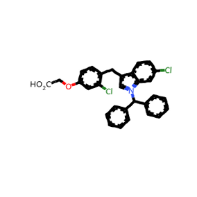 O=C(O)COc1ccc(Cc2cn(C(c3ccccc3)c3ccccc3)c3cc(Cl)ccc23)c(Cl)c1